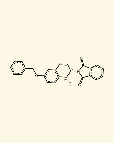 O=C1c2ccccc2C(=O)N1[C@H]1C=Cc2cc(OCc3ccccc3)ccc2[C@H]1O